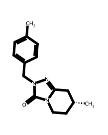 Cc1ccc(Cn2nc3n(c2=O)CC[C@@H](C)C3)cc1